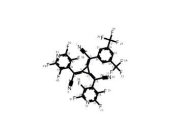 N#CC(=C1C(=C(\C#N)c2cc(C(F)(F)F)cc(C(F)(F)F)c2)/C1=C(\C#N)c1c(F)c(F)nc(F)c1F)c1c(F)c(F)nc(F)c1F